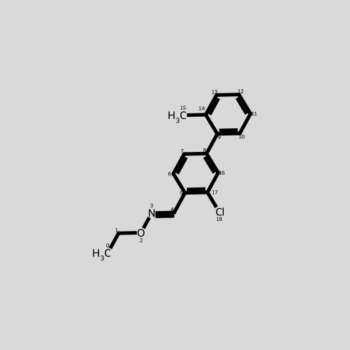 CCO/N=C/c1ccc(-c2ccccc2C)cc1Cl